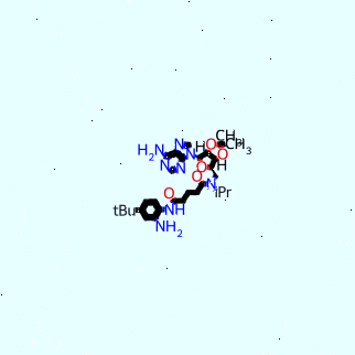 CC(C)N(C[C@H]1O[C@@H](n2cnc3c(N)ncnc32)[C@@H]2OC(C)(C)O[C@@H]21)C(=O)CCCC(=O)Nc1ccc(C(C)(C)C)cc1N